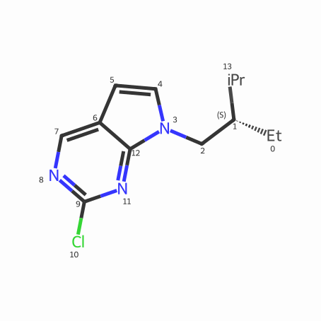 CC[C@H](Cn1ccc2cnc(Cl)nc21)C(C)C